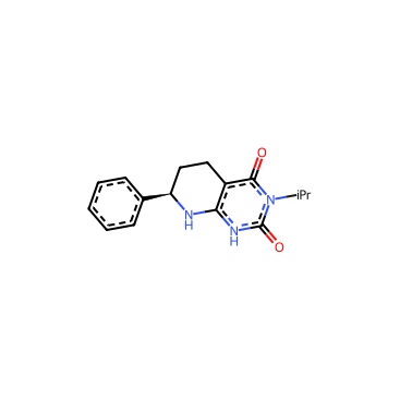 CC(C)n1c(=O)[nH]c2c(c1=O)CC[C@H](c1ccccc1)N2